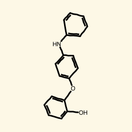 Oc1ccccc1Oc1ccc(Nc2ccccc2)cc1